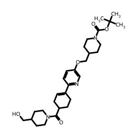 CC(C)(C)OC(=O)N1CCC(COc2ccc(C3=CCC(C(=O)N4CCC(CO)CC4)CC3)nc2)CC1